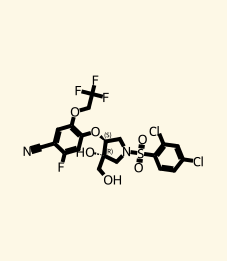 N#Cc1cc(OCC(F)(F)F)c(O[C@H]2CN(S(=O)(=O)c3ccc(Cl)cc3Cl)C[C@@]2(O)CO)cc1F